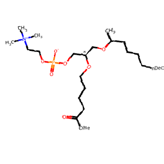 CCCCCCCCCCCCCCC(C)OC[C@H](COP(=O)([O-])OCC[N+](C)(C)C)OCCCCC(=O)OC